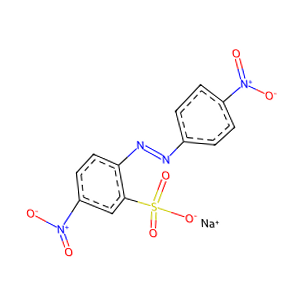 O=[N+]([O-])c1ccc(N=Nc2ccc([N+](=O)[O-])cc2S(=O)(=O)[O-])cc1.[Na+]